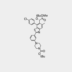 COC(=O)[C@@H](OC(C)(C)C)c1c(C)cc2nc(-c3cccc(N4CCN(C(=O)OC(C)(C)C)CC4)c3)sc2c1-c1ccc(Cl)cc1